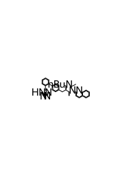 C=C1C(Cc2ccc(-c3ccccc3-c3nnn[nH]3)cc2)=C(CCCC)N=C(C)N1c1ccc2ccccc2n1